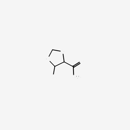 COC(=O)C1OCOC1C(=O)O